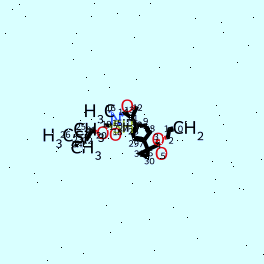 C=CCOC(=O)C1(c2ccc(C3COC3N(C)[SH](=O)(COCC[Si](C)(C)C)C(C)C)cc2)CC1